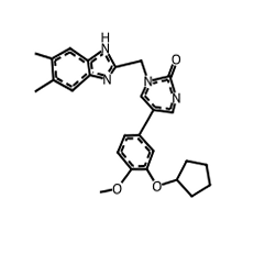 COc1ccc(-c2cnc(=O)n(Cc3nc4cc(C)c(C)cc4[nH]3)c2)cc1OC1CCCC1